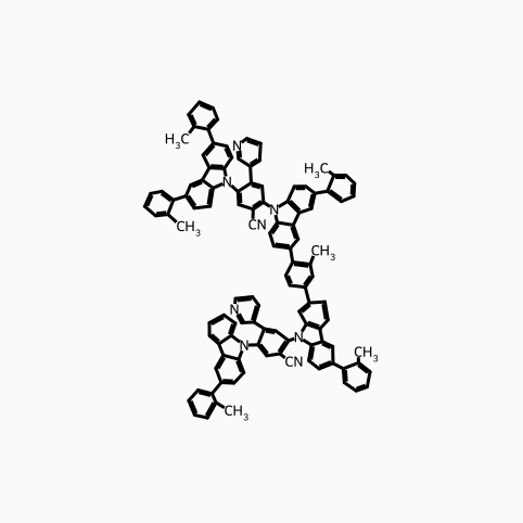 Cc1ccccc1-c1ccc2c(c1)c1cc(-c3ccc(-c4ccc5c6cc(-c7ccccc7C)ccc6n(-c6cc(-c7cccnc7)c(-n7c8ccccc8c8cc(-c9ccccc9C)ccc87)cc6C#N)c5c4)cc3C)ccc1n2-c1cc(-c2cccnc2)c(-n2c3ccc(-c4ccccc4C)cc3c3cc(-c4ccccc4C)ccc32)cc1C#N